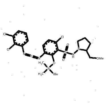 COCC1CCCN1NS(=O)(=O)c1c(Cl)ccc(N=C=Nc2cccc(Cl)c2Cl)c1O[Si](C)(C)C(C)(C)C